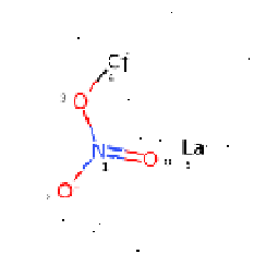 O=[N+]([O-])[O][Cf].[La]